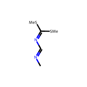 C/N=C/N=C(SC)SC